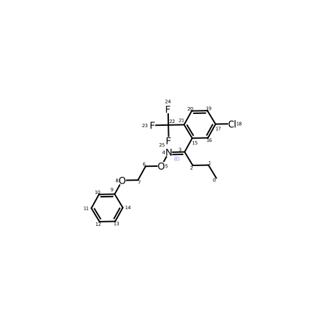 CCC/C(=N\OCCOc1ccccc1)c1cc(Cl)ccc1C(F)(F)F